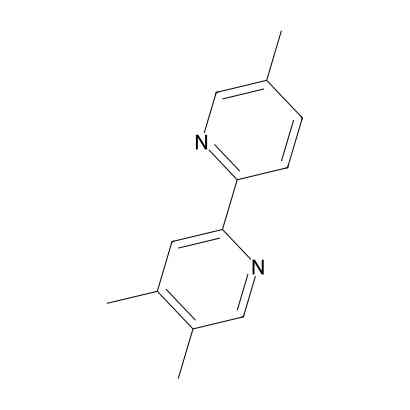 Cc1ccc(-c2cc(C)c(C)cn2)nc1